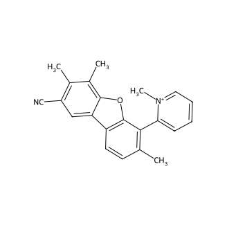 Cc1ccc2c(oc3c(C)c(C)c(C#N)cc32)c1-c1cccc[n+]1C